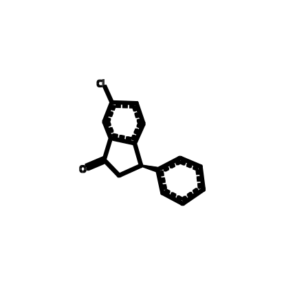 O=C1C[C@H](c2ccccc2)c2ccc(Cl)cc21